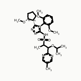 COc1cccc(OC)c1-n1c(NS(=O)(=O)C(C)C(OC(C)C)c2ncc(C)cn2)nnc1[C@H]1CCC[C@H]1OC